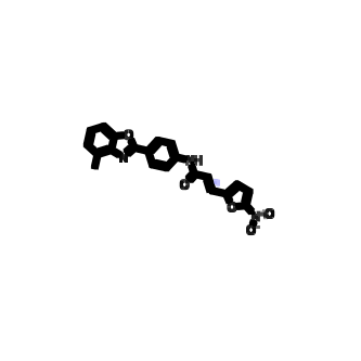 Cc1cccc2oc(-c3ccc(NC(=O)/C=C/c4ccc([N+](=O)[O-])o4)cc3)nc12